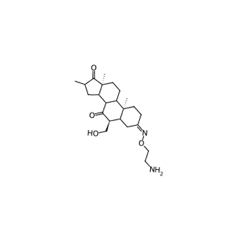 CC1CC2C3C(=O)[C@H](CO)C4CC(=NOCCN)CC[C@]4(C)C3CC[C@]2(C)C1=O